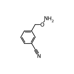 N#Cc1cccc(CON)c1